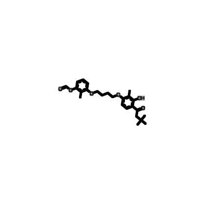 Cc1c(OC=O)cccc1OCCCCOc1ccc(C(=O)CC(C)(C)C)c(O)c1C